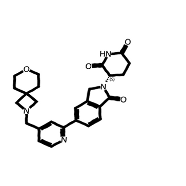 O=C1CC[C@H](N2Cc3cc(-c4cc(CN5CC6(CCOCC6)C5)ccn4)ccc3C2=O)C(=O)N1